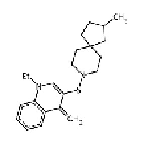 C=C1C(SN2CCC3(CCC(C)C3)CC2)=CN(CC)c2ccccc21